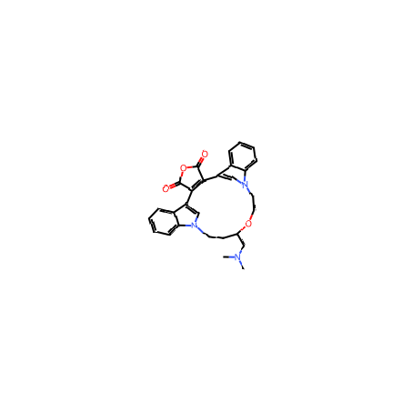 CN(C)CC1CCn2cc(c3ccccc32)C2=C(C(=O)OC2=O)c2cn(c3ccccc23)CCO1